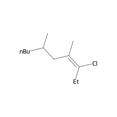 CCCCC(C)C/C(C)=C(/Cl)CC